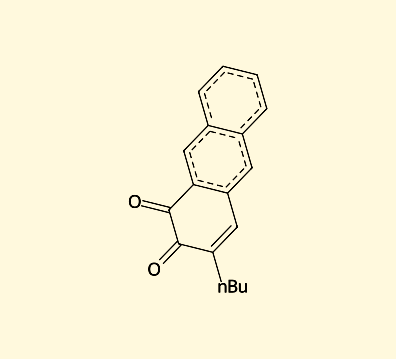 CCCCC1=Cc2cc3ccccc3cc2C(=O)C1=O